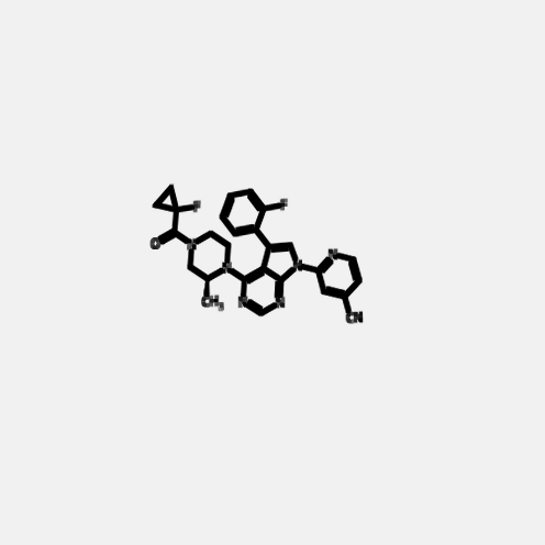 C[C@H]1CN(C(=O)C2(F)CC2)CCN1c1ncnc2c1c(-c1ccccc1F)cn2-c1cc(C#N)ccn1